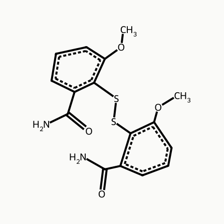 COc1cccc(C(N)=O)c1SSc1c(OC)cccc1C(N)=O